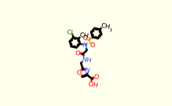 Cc1ccc(S(=O)(=O)N(CC(=O)NCc2nc(C(=O)O)co2)c2cccc(Cl)c2C)cc1